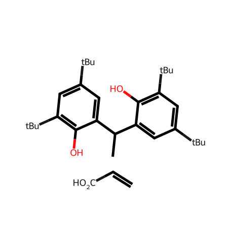 C=CC(=O)O.CC(c1cc(C(C)(C)C)cc(C(C)(C)C)c1O)c1cc(C(C)(C)C)cc(C(C)(C)C)c1O